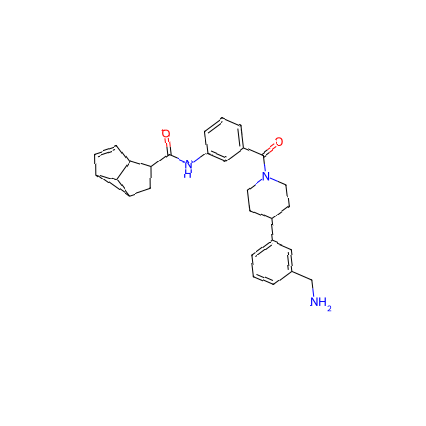 NCc1cccc(C2CCN(C(=O)c3cccc(NC(=O)C4CC5C6C=CC4C65)c3)CC2)c1